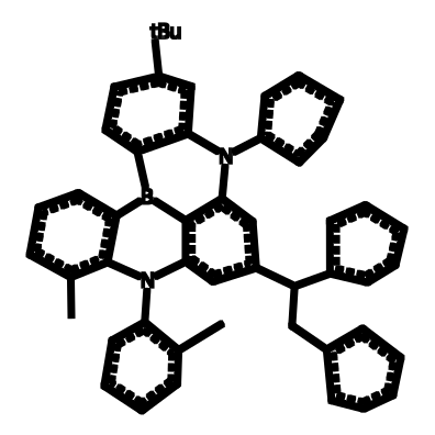 Cc1ccccc1N1c2cc(C(Cc3ccccc3)c3ccccc3)cc3c2B(c2ccc(C(C)(C)C)cc2N3c2ccccc2)c2cccc(C)c21